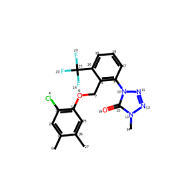 Cc1cc(Cl)c(OCc2c(-n3nnn(C)c3=O)cccc2C(F)(F)F)cc1C